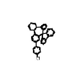 Clc1ccc(-c2ccc3c(c2)C2(c4ccccc4-c4ccccc42)c2ccccc2C2C=CC=CC32)cc1